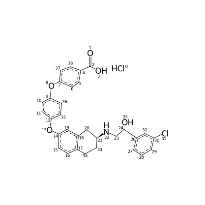 Cl.O=C(O)c1ccc(Oc2ccc(Oc3ccc4c(c3)C[C@@H](NC[C@H](O)c3cccc(Cl)c3)CC4)cc2)cc1